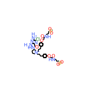 CS(=O)(=O)CCCNC(=O)COc1ccc(CCC[N+]2(CCCc3ccc(OCC(=O)NCCCS(C)(=O)=O)cc3)CCC[C@H](NC(=O)c3nc(Cl)c(N)nc3N)C2)cc1